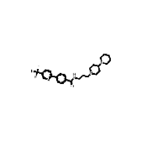 O=C(NCCCN1CCC(N2CCCCC2)CC1)c1ccc(-c2ccc(C(F)(F)F)cn2)cc1